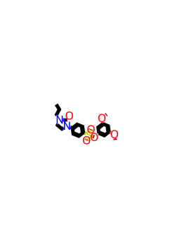 CCCN1CCN(c2ccc(S(=O)(=O)Oc3cc(OC)cc(OC)c3)cc2)C1=O